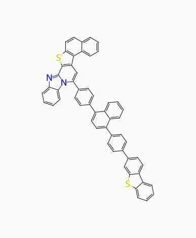 c1ccc2c(c1)ccc1sc3c(cc(-c4ccc(-c5ccc(-c6ccc(-c7ccc8c(c7)sc7ccccc78)cc6)c6ccccc56)cc4)n4c5ccccc5nc34)c12